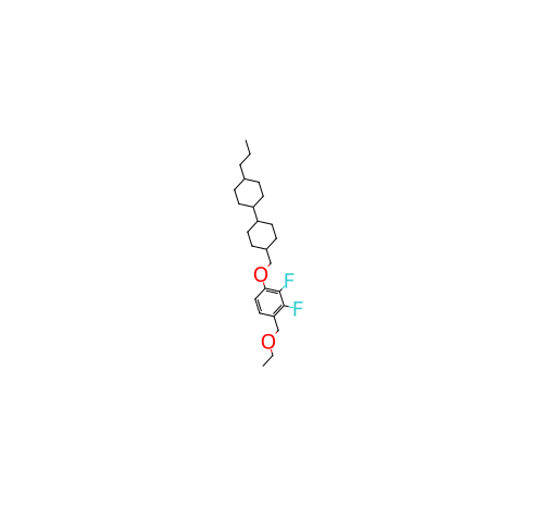 CCCC1CCC(C2CCC(COc3ccc(COCC)c(F)c3F)CC2)CC1